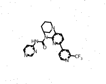 O=C(Nc1ccncn1)N1c2nc(-c3ccnc(C(F)(F)F)c3)ccc2N2CCCC1C2